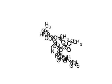 COc1ccc(C(OC[C@H]2OC(n3cnc4c(=O)[nH]c(NC(=O)CCNC(=O)c5ccsc5)nc43)C[C@H]2OP(OCCC#N)OC[C@H]2O[C@@H](n3cc(C)c(=O)[nH]c3=O)C[C@H]2O)(c2ccccc2)c2ccc(OC)cc2)cc1